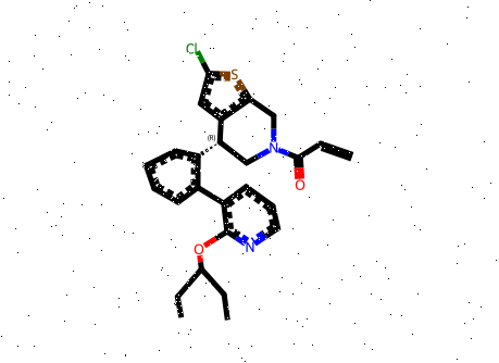 C=CC(=O)N1Cc2sc(Cl)cc2[C@@H](c2ccccc2-c2cccnc2OC(CC)CC)C1